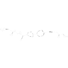 C=CC(=O)CC#Cc1ccc(-c2ccc(C(=O)OCOC(=O)C=C)cc2)cc1